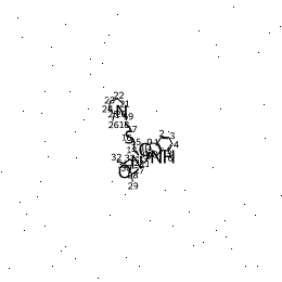 Cc1cccc(C)c1NC(=O)C[N+]1(CCCSCCCN2CCCCC2C)CC(C)OC(C)C1